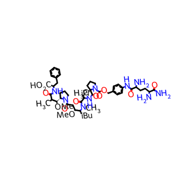 CCC(C)C(C(CC(=O)N1CCC[C@H]1C(OC)C(C)C(=O)NC(Cc1ccccc1)C(=O)O)OC)N(C)C(=O)C(NC(=O)[C@]1(C)CCCN1C(=O)OCc1ccc(NC(=O)C(N)CCC(N)C(N)=O)cc1)C(C)C